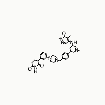 Cc1c(N[C@@H]2C[C@H](c3ccc(CN4CCN(c5cccc(C6CCC(=O)NC6=O)c5)CC4)cc3)CN(C)C2)cnn(C)c1=O